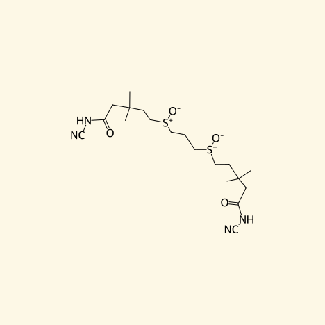 CC(C)(CC[S+]([O-])CCC[S+]([O-])CCC(C)(C)CC(=O)NC#N)CC(=O)NC#N